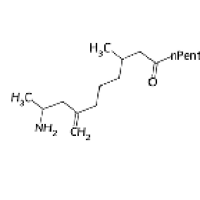 C=C(CCCC(C)CC(=O)CCCCC)CC(C)N